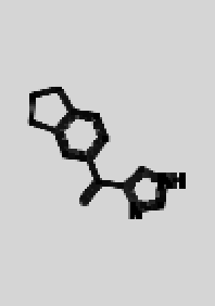 C=C(c1ccc2c(c1)CCC2)c1c[nH]cn1